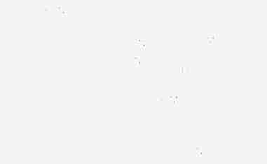 COC(=O)C1=NN2C(c3ccc([N+](=O)[O-])cc3)C=CC(c3ccc([N+](=O)[O-])cc3)C2(C(=O)OC)C1O